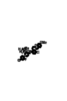 COc1ccc(CN2C(=O)CCc3c(OC[C@]4(O)CCN(c5ccc(Cl)cc5F)C[C@H]4O[Si](C)(C)C(C)(C)C)ccc(Cl)c32)cc1